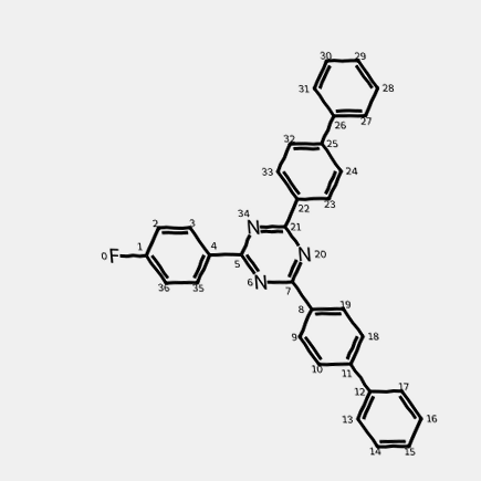 Fc1ccc(-c2nc(-c3ccc(-c4ccccc4)cc3)nc(-c3ccc(-c4ccccc4)cc3)n2)cc1